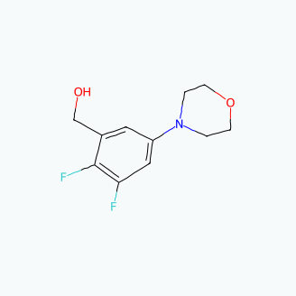 OCc1cc(N2CCOCC2)cc(F)c1F